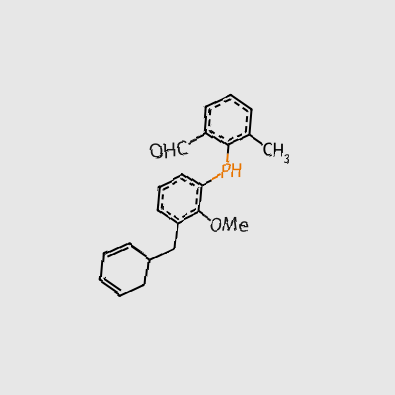 COc1c(CC2C=CC=CC2)cccc1Pc1c(C)cccc1C=O